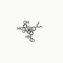 CCCC(CCC)C1CCNC(COc2cc(O)cc(O)c2C(=O)N2Cc3cccc(NC4CCOC4)c3C2)C1